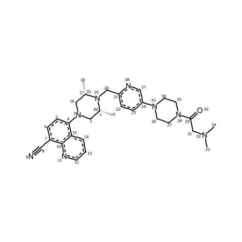 C[C@@H]1CN(c2ccc(C#N)c3ncccc23)C[C@H](C)N1Cc1ccc(N2CCN(C(=O)CN(C)C)CC2)cn1